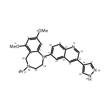 COc1cc(OC)c2c(c1)N(c1ccc3ncc(-c4cn[nH]c4)cc3c1)CCN(C(C)C)C2